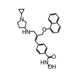 O=C(NO)c1ccc(/C=C(/CNC2CCN(C3CC3)C2)COc2cccc3ccccc23)cc1